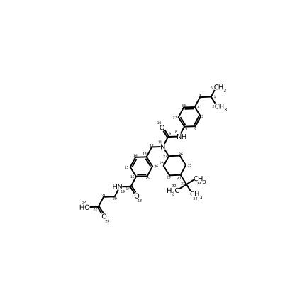 CC(C)Cc1ccc(NC(=O)N(Cc2ccc(C(=O)NCCC(=O)O)cc2)C2CCC(C(C)(C)C)CC2)cc1